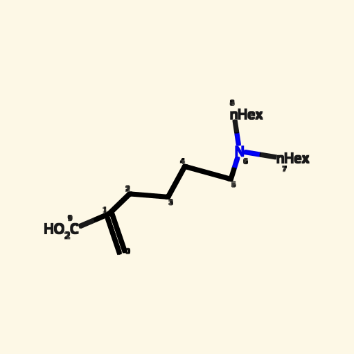 C=C(CCCCN(CCCCCC)CCCCCC)C(=O)O